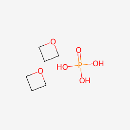 C1COC1.C1COC1.O=P(O)(O)O